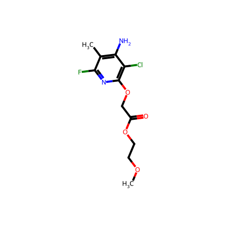 COCCOC(=O)COc1nc(F)c(C)c(N)c1Cl